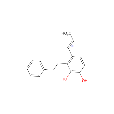 O=C(O)/C=C/c1ccc(O)c(O)c1CCc1ccccc1